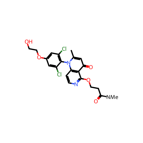 CNC(=O)CCOc1nccc2c1c(=O)cc(C)n2-c1c(Cl)cc(OCCO)cc1Cl